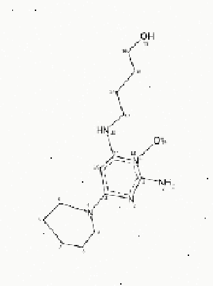 Nc1nc(N2CCCCC2)cc(NCCCCO)[n+]1[O-]